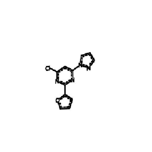 Clc1cc(-n2cccn2)nc(-c2ccco2)n1